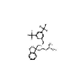 CN(C)CCCC1(COCc2cc(C(F)(F)F)cc(C(F)(F)F)c2)OCc2ccccc21